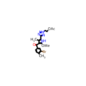 COc1[nH]c(-c2nnn(CCOC(C)=O)n2)c(C)c1C(=O)c1ccc(C)c(Br)c1